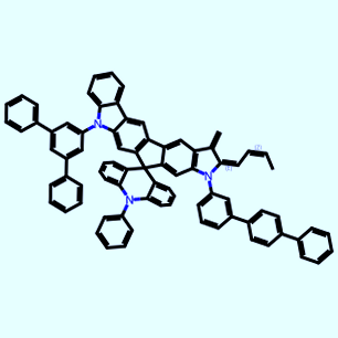 C=c1/c(=C\C=C/C)n(-c2cccc(-c3ccc(-c4ccccc4)cc3)c2)c2cc3c(cc12)-c1cc2c4ccccc4n(-c4cc(-c5ccccc5)cc(-c5ccccc5)c4)c2cc1C31c2ccccc2N(c2ccccc2)c2ccccc21